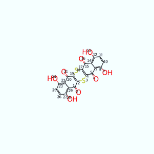 O=c1c2sc3c(=O)c4c(O)ccc(O)c4c(=O)c3sc2c(=O)c2c(O)ccc(O)c12